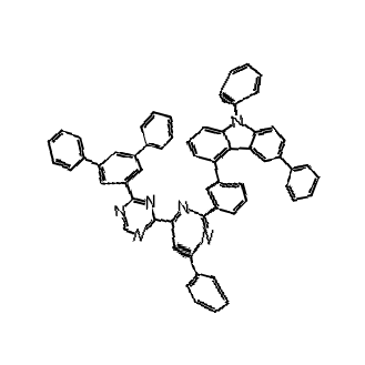 c1ccc(-c2cc(-c3ccccc3)cc(-c3ncnc(-c4cc(-c5ccccc5)nc(-c5cccc(-c6cccc7c6c6cc(-c8ccccc8)ccc6n7-c6ccccc6)c5)n4)n3)c2)cc1